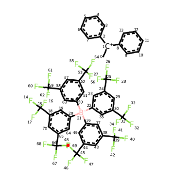 C[C+](c1ccccc1)c1ccccc1.FC(F)(F)c1cc([B-](c2cc(C(F)(F)F)cc(C(F)(F)F)c2)(c2cc(C(F)(F)F)cc(C(F)(F)F)c2)c2cc(C(F)(F)F)cc(C(F)(F)F)c2)cc(C(F)(F)F)c1